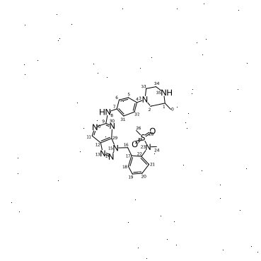 CC1CN(c2ccc(Nc3ncc4nnn(Cc5ccccc5N(C)S(C)(=O)=O)c4n3)cc2)CCN1